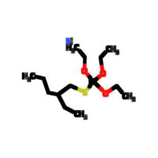 CCCC(CC)CS[Si](OCC)(OCC)OCC.[N]